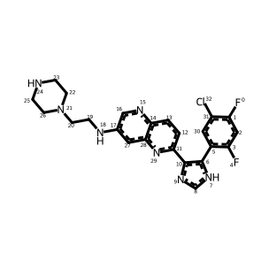 Fc1cc(F)c(-c2[nH]cnc2-c2ccc3ncc(NCCN4CCNCC4)cc3n2)cc1Cl